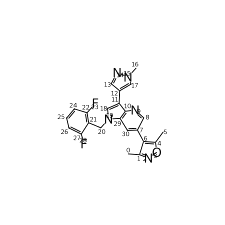 Cc1noc(C)c1-c1cnc2c(-c3cnn(C)c3)cn(Cc3c(F)cccc3F)c2c1